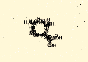 CNC(=O)C[C@@H]1NC(=O)c2csc(n2)-c2ccc(-c3nc(N(CCCCC(=O)O)C(=O)O[C@H]4CC[C@H](C(=O)O)CC4)cs3)nc2-c2csc(n2)-c2csc(n2)[C@H]([C@@H](O)c2ccccc2)NC(=O)CNC(=O)c2nc(sc2COC)[C@H](C(C)C)NC(=O)c2nc1sc2C